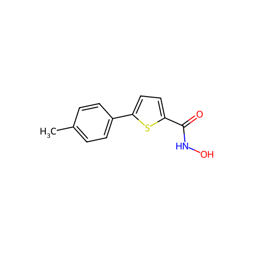 Cc1ccc(-c2ccc(C(=O)NO)s2)cc1